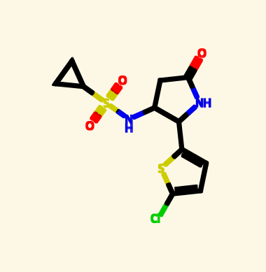 O=C1CC(NS(=O)(=O)C2CC2)C(c2ccc(Cl)s2)N1